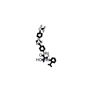 C/C(O)=C(/C(=O)Nc1ccc(-c2ncn(-c3ccc(OC(F)(F)F)cc3)n2)cc1)C(=S)Nc1ccccc1C(C)C